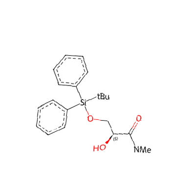 CNC(=O)[C@@H](O)CO[Si](c1ccccc1)(c1ccccc1)C(C)(C)C